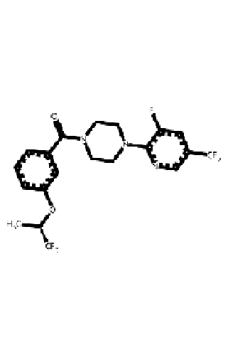 C[C@@H](Oc1cccc(C(=O)N2CCN(c3ncc(C(F)(F)F)cc3F)CC2)c1)C(F)(F)F